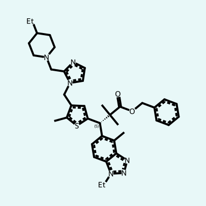 CCC1CCN(Cc2nccn2Cc2cc([C@@H](c3ccc4c(nnn4CC)c3C)C(C)(C)C(=O)OCc3ccccc3)sc2C)CC1